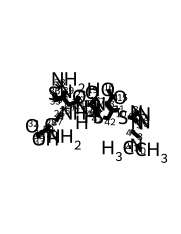 CN(C)CCn1nnnc1SCC1=C(C(=O)O)N2C(=O)[C@@H](NC(=O)[C@@H](NCCC[C@@H](N)C(=O)O)c3csc(N)n3)[C@H]2SC1